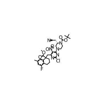 COC(=O)C1(Cc2nc(Cl)nc(N3CCN(C(=O)OC(C)(C)C)[C@@H](CC#N)C3)c2[N+](=O)[O-])CCCc2c(F)cc(C)cc21